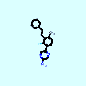 Cc1ccc(-c2cnc(N)cn2)c(F)c1CCc1ccccc1